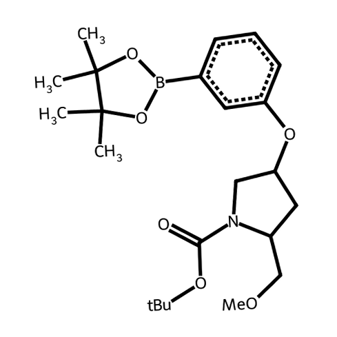 COCC1CC(Oc2cccc(B3OC(C)(C)C(C)(C)O3)c2)CN1C(=O)OC(C)(C)C